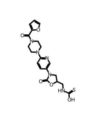 O=C(c1ccco1)N1CCN(c2ccc(N3CC(CNC(O)=S)OC3=O)cn2)CC1